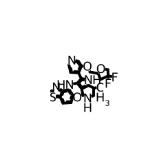 CC1CNC(=O)c2c1[nH]c(-c1ccncc1OCC1CC(F)(F)CO1)c2Nc1cccc2scnc12